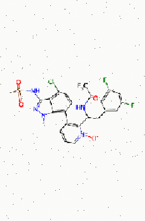 Cn1nc(NS(C)(=O)=O)c2c(Cl)ccc(-c3ccc[n+]([O-])c3C(Cc3cc(F)cc(F)c3)NC(=O)C(F)(F)F)c21